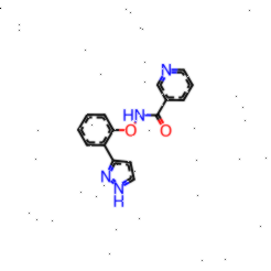 O=C(NOc1ccccc1-c1cc[nH]n1)c1cccnc1